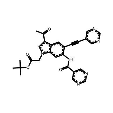 CC(=O)c1cn(CC(=O)OC(C)(C)C)c2cc(NC(=O)c3cncnc3)c(C#Cc3cncnc3)cc12